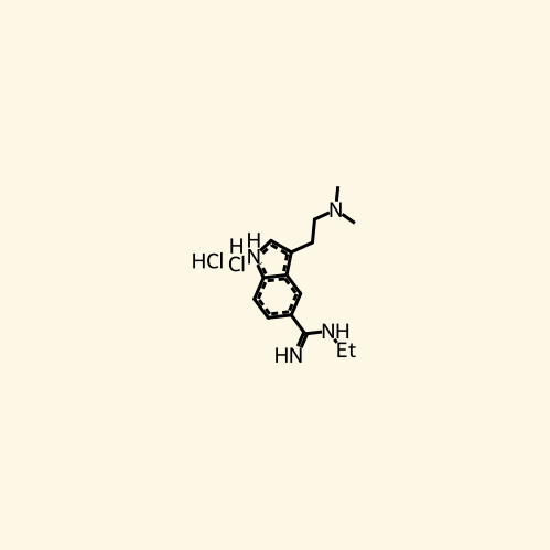 CCNC(=N)c1ccc2[nH]cc(CCN(C)C)c2c1.Cl.Cl